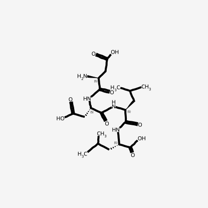 CC(C)C[C@H](NC(=O)[C@H](CC(C)C)NC(=O)[C@H](CC(=O)O)NC(=O)[C@@H](N)CC(=O)O)C(=O)O